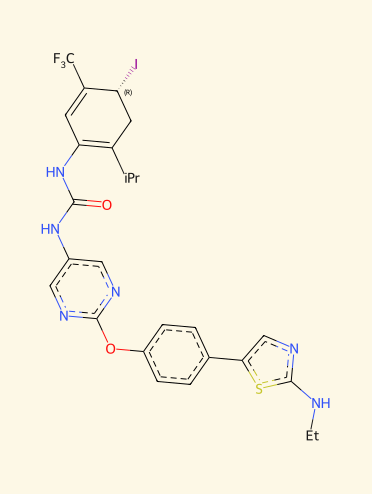 CCNc1ncc(-c2ccc(Oc3ncc(NC(=O)NC4=C(C(C)C)C[C@@H](I)C(C(F)(F)F)=C4)cn3)cc2)s1